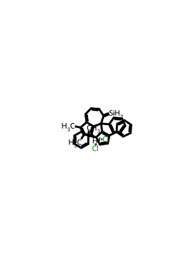 CC1=C(C)[C]([Hf]([Cl])[Cl])=C2C1=CC=CC(=[SiH2])C2(C1=C(c2ccccc2)C=CC1C1(C)C=CC=CC1)c1ccccc1